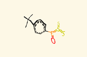 CC(C)(C)c1ccc(P(=O)=S(=S)=S)cc1